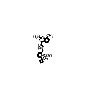 Cc1cccc2c(-c3cn(Cc4cccc(C5(O)CCC5)[n+]4C(=O)[O-])nn3)nc(N)nc12